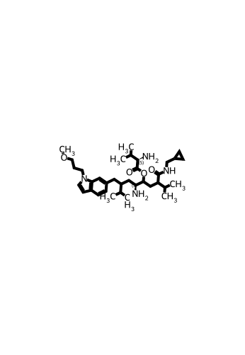 COCCCn1ccc2ccc(CC(C[C@H](N)C(CC(C(=O)NCC3CC3)C(C)C)OC(=O)[C@@H](N)C(C)C)C(C)C)cc21